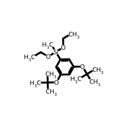 CCO[Si](C)(OCC)c1cc(OC(C)(C)C)cc(OC(C)(C)C)c1